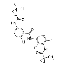 CC1(C(=O)Nc2c(F)ccc(NC(=O)c3cc(NC(=O)[C@H]4CC4(Cl)Cl)ccc3Cl)c2F)CC1